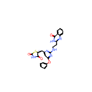 O=C1NC(=O)/C(=C\c2cc(Oc3ccccc3)nc(NCCc3nc4ccccc4c(=O)[nH]3)n2)S1